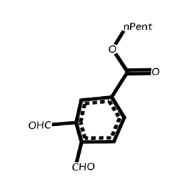 CCCCCOC(=O)c1ccc(C=O)c(C=O)c1